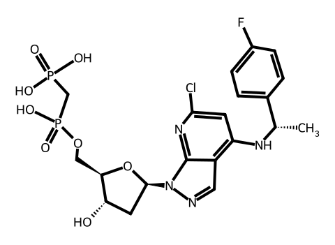 C[C@H](Nc1cc(Cl)nc2c1cnn2[C@H]1C[C@H](O)[C@@H](COP(=O)(O)CP(=O)(O)O)O1)c1ccc(F)cc1